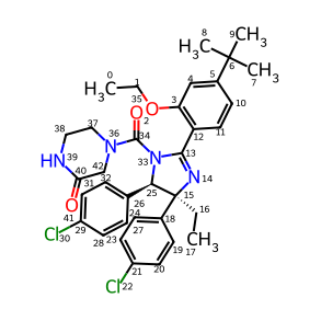 CCOc1cc(C(C)(C)C)ccc1C1=N[C@@](CC)(c2ccc(Cl)cc2)[C@@H](c2ccc(Cl)cc2)N1C(=O)N1CCNC(=O)C1